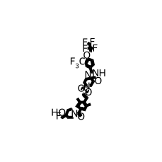 Cc1cc(C(=O)N2CCC(O)(CF)CC2)cc(C)c1C=CS(=O)(=O)N1CCC2(CC1)N=C(c1ccc(OCC(F)(F)C(F)F)c(C(F)(F)F)c1)NC2=O